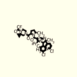 Cc1cc(Cl)ccc1C1N2C(=NC1(C)c1ccc(Cl)nc1)SC(C(=O)N1C(C(=O)N3CCN(C(=O)C(F)(F)F)C4(CC4)C3)CC[C@H]1C)=C2C(C)C